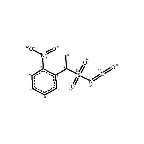 CC(c1ccccc1[N+](=O)[O-])S(=O)(=O)N=C=O